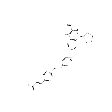 CC(=O)c1c(C)c2cnc(Nc3ccc(OCc4ccc(/C=C/C(=O)NO)cn4)cn3)nc2n(C2CCCC2)c1=O